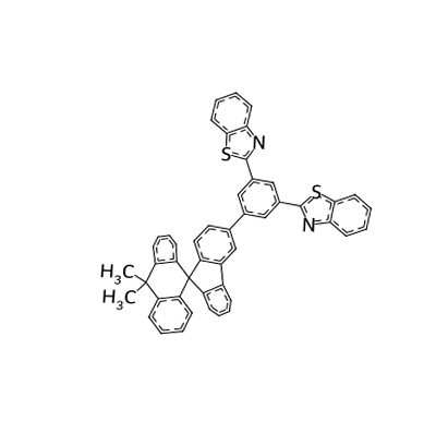 CC1(C)c2ccccc2C2(c3ccccc3-c3cc(-c4cc(-c5nc6ccccc6s5)cc(-c5nc6ccccc6s5)c4)ccc32)c2ccccc21